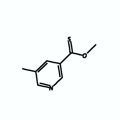 COC(=S)c1cncc(C)c1